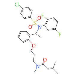 CC(C)=CC(=O)N(C)CCCOc1ccccc1C(C)N(c1cc(F)ccc1F)S(=O)(=O)c1ccc(Cl)cc1